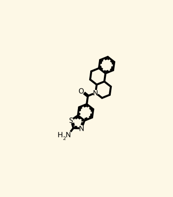 Nc1nc2ccc(C(=O)N3CCCC4c5ccccc5CCC43)cc2s1